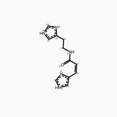 O=C(/C=C\c1c[nH]cn1)NCCc1c[nH]cn1